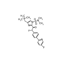 CN(C)S(=O)(=O)n1cc(CC(C)(C)C)nc1C(=O)C(F)c1ccc(-c2ccc(F)cn2)cc1